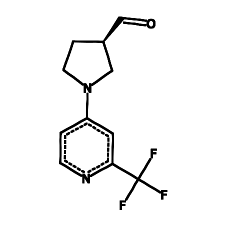 O=C[C@@H]1CCN(c2ccnc(C(F)(F)F)c2)C1